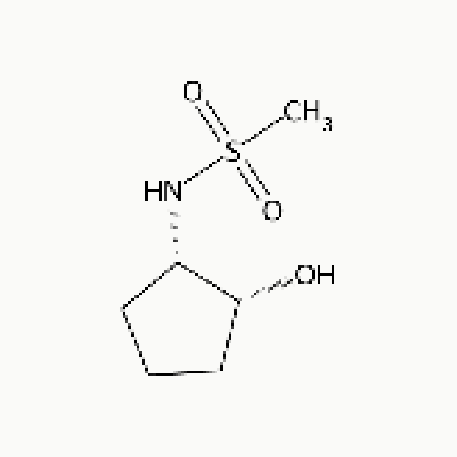 CS(=O)(=O)N[C@H]1CCC[C@H]1O